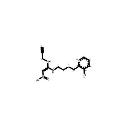 C#CCN/C(=C/[N+](=O)[O-])NCCSCc1ncccc1Cl